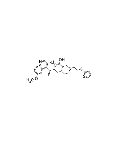 COc1ccc2ncc(Cl)c(C(F)CCC3CCN(CCSc4cccs4)CC3C(=O)O)c2c1